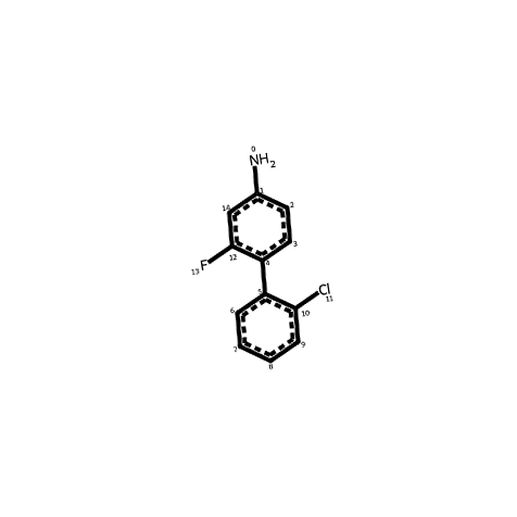 Nc1ccc(-c2ccccc2Cl)c(F)c1